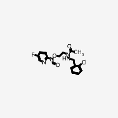 CC(=O)N(CCON(C=O)c1ccc(F)cn1)NCc1ccccc1Cl